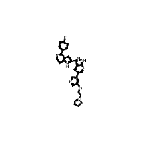 Fc1ccc(-c2nccc3[nH]c(-c4n[nH]c5ncc(-c6cncc(OCCN7CCCC7)c6)cc45)cc23)cc1